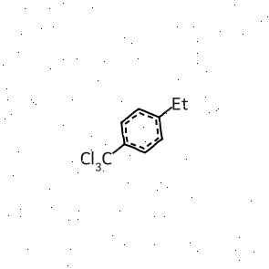 CCc1ccc(C(Cl)(Cl)Cl)cc1